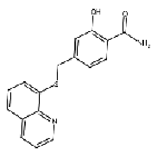 NC(=O)c1ccc(CSc2cccc3cccnc23)cc1O